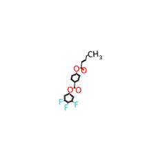 CCC=CC(=O)Oc1ccc(C(=O)Oc2cc(F)c(F)c(F)c2)cc1